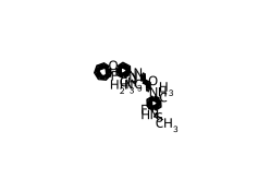 CSNc1cc(C)c(NCC(=O)C(C)/C=N\N(CN)c2ccc(OC3=C(F)CC=CC=C3)cc2C)cc1F